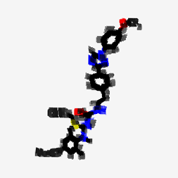 COc1cc(C)c(N(C)/C(=N/C(=O)NCCc2ccc(-c3ncn(-c4ccc(OC(F)(F)F)cc4)n3)cc2)SCC=O)c(C)c1